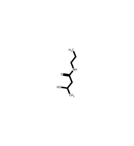 CCCNC(=O)CC(C)O